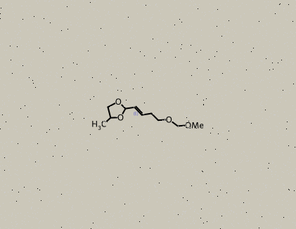 COCOCC/C=C/C1OCC(C)O1